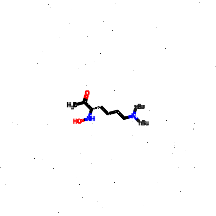 BC(=O)[C@H](CCCCN(CCCC)CCCC)NO